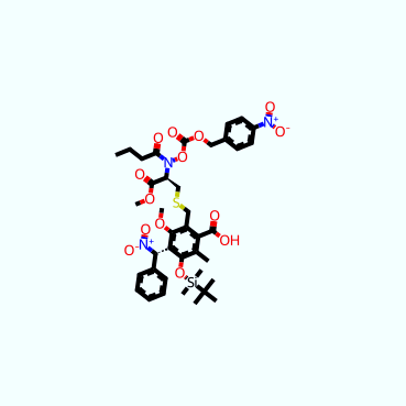 CCCC(=O)N(OC(=O)OCc1ccc([N+](=O)[O-])cc1)[C@@H](CSCc1c(OC)c([C@H](c2ccccc2)[N+](=O)[O-])c(O[Si](C)(C)C(C)(C)C)c(C)c1C(=O)O)C(=O)OC